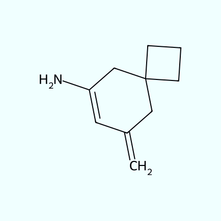 C=C1C=C(N)CC2(CCC2)C1